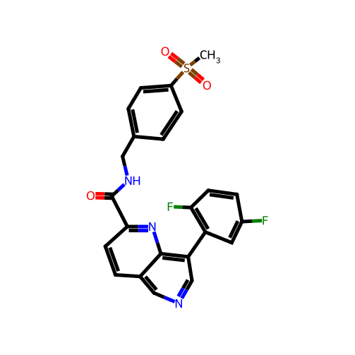 CS(=O)(=O)c1ccc(CNC(=O)c2ccc3cncc(-c4cc(F)ccc4F)c3n2)cc1